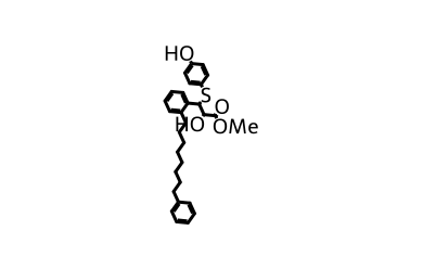 COC(=O)C(O)C(Sc1ccc(O)cc1)c1ccccc1CCCCCCCCc1ccccc1